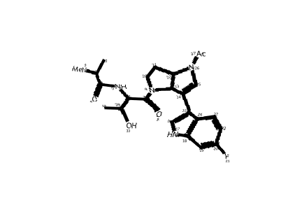 CNC(C)C(=O)NC(C(=O)N1CCC2C1C(c1c[nH]c3cc(F)ccc13)=CN2C(C)=O)C(C)O